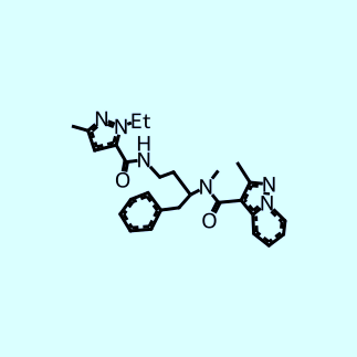 CCn1nc(C)cc1C(=O)NCCC(Cc1ccccc1)N(C)C(=O)c1c(C)nn2ccccc12